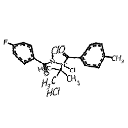 Cc1ccc(C(=O)[N+](Cl)(N(Cl)C(=O)c2ccc(F)cc2)C(C)(C)C)cc1.Cl